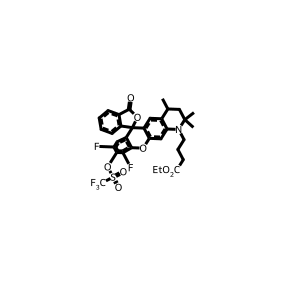 CCOC(=O)CCCN1c2cc3c(cc2C(C)CC1(C)C)C1(OC(=O)c2ccccc21)c1cc(F)c(OS(=O)(=O)C(F)(F)F)c(F)c1O3